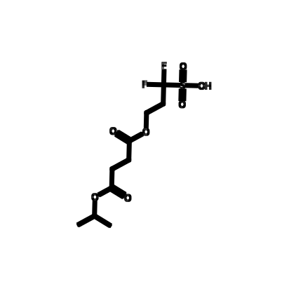 CC(C)OC(=O)CCC(=O)OCCC(F)(F)S(=O)(=O)O